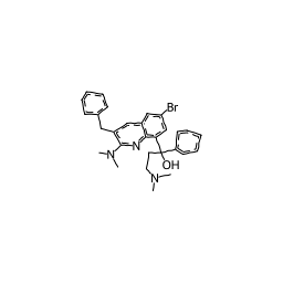 CN(C)CCC(O)(c1ccccc1)c1cc(Br)cc2cc(Cc3ccccc3)c(N(C)C)nc12